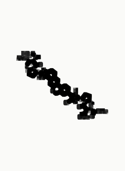 COC(=O)N[C@H](C(=O)N1[C@@H](C)CC[C@H]1c1nc(Cl)c(-c2ccc3c(c2)COc2cc4c(ccc5nc([C@@H]6CC[C@H](C)N6C(=O)[C@H]([C@@H](C)OC)N(C)C(=O)O)[nH]c54)cc2-3)[nH]1)[C@@H](C)OC